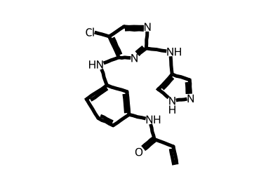 C=CC(=O)Nc1cccc(Nc2nc(Nc3cn[nH]c3)ncc2Cl)c1